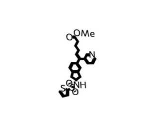 COC(=O)CCC/C=C(\c1cccnc1)c1ccc2c(c1)CC(NS(=O)(=O)c1cccs1)C2